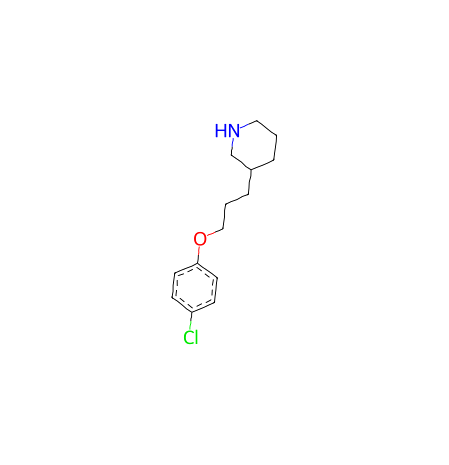 Clc1ccc(OCCCC2CCCNC2)cc1